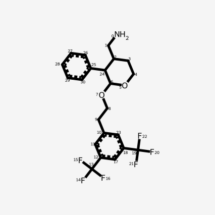 NCC1CCOC(OCCc2cc(C(F)(F)F)cc(C(F)(F)F)c2)C1c1ccccc1